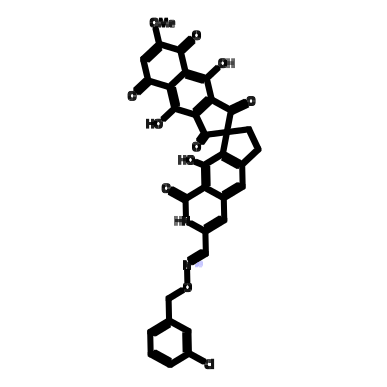 COC1=CC(=O)c2c(O)c3c(c(O)c2C1=O)C(=O)C1(CCc2cc4cc(/C=N/OCc5cccc(Cl)c5)[nH]c(=O)c4c(O)c21)C3=O